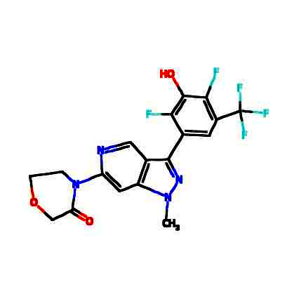 Cn1nc(-c2cc(C(F)(F)F)c(F)c(O)c2F)c2cnc(N3CCOCC3=O)cc21